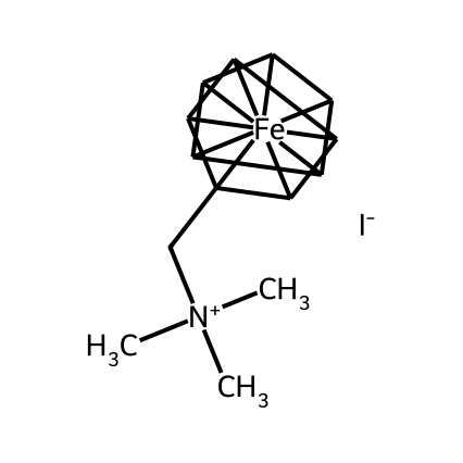 C[N+](C)(C)C[C]12[CH]3[CH]4[CH]5[CH]1[Fe]45321678[CH]2[CH]1[CH]6[CH]7[CH]28.[I-]